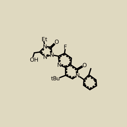 CCn1c(CO)nn(-c2nc3c(C(C)(C)C)cn(-c4ccccc4C)c(=O)c3cc2F)c1=O